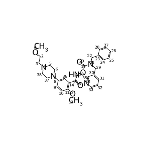 COCCN1CCN(c2ccc(OC)c(C(=O)NOC(=O)N(Cc3ccccc3)Cc3cccnc3)c2)CC1